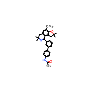 COc1cc2c(c3c1OC(C)(C)C3)C(c1cccc(-c3ccc(NC(=O)C(C)(C)C)cc3)c1)=NC(C)(C)C2